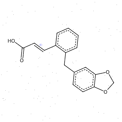 O=C(O)/C=C/c1ccccc1Cc1ccc2c(c1)OCO2